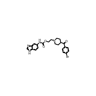 O=C(Nc1ccc2[nH]cnc2c1)OCCN1CCC(C(=O)c2ccc(Br)cc2)CC1